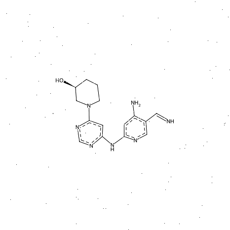 N=Cc1cnc(Nc2cc(N3CCC[C@H](O)C3)ncn2)cc1N